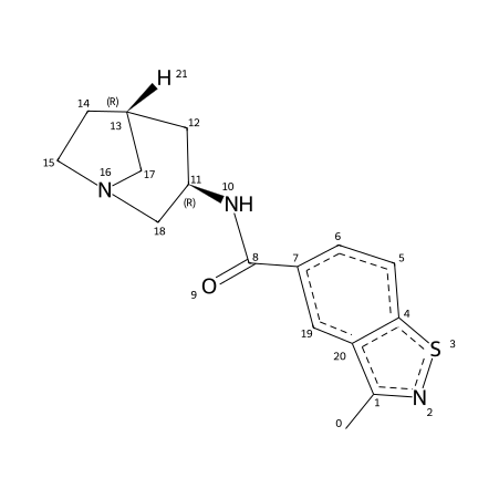 Cc1nsc2ccc(C(=O)N[C@@H]3C[C@H]4CCN(C4)C3)cc12